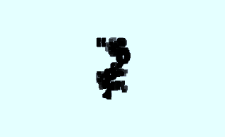 CS(=O)(=O)c1cccc(COc2cc3ncnc(C(N)C4CC4)c3cc2Br)c1